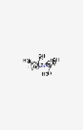 CC(/C=C/C=C1/N(CCCCC(=O)O)c2ccc(S(=O)(=O)O)cc2C1(C)C)=C\C=C\C1=[N+](CCCCC(=O)O)c2ccc(SOOO)cc2C1(C)C